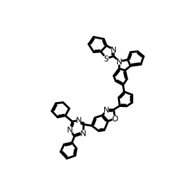 C1=CCCC(c2nc(-c3ccccc3)nc(-c3ccc4oc(-c5cccc(-c6ccc7c(c6)c6ccccc6n7-c6nc7ccccc7s6)c5)nc4c3)n2)=C1